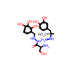 C[C@@](Cc1ccc(O)c(O)c1)(NN)C(=O)O.NC(CO)C(=O)NNCc1ccc(O)c(O)c1O